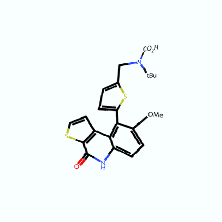 COc1ccc2[nH]c(=O)c3sccc3c2c1-c1ccc(CN(C(=O)O)C(C)(C)C)s1